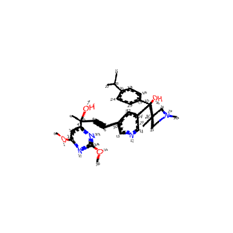 COc1cc(C(C)(O)C#Cc2cncc(C(O)(c3ccc(C(C)C)cc3)C3(C)CN(C)C3)c2)nc(OC)n1